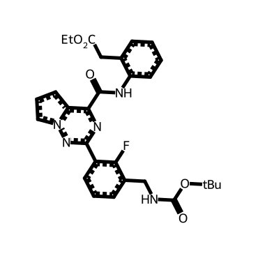 CCOC(=O)Cc1ccccc1NC(=O)c1nc(-c2cccc(CNC(=O)OC(C)(C)C)c2F)nn2cccc12